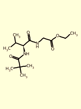 CCOC(=O)CNC(=O)[C@@H](NC(=O)C(C)(C)C)C(C)C